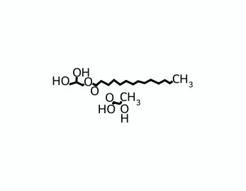 CC(O)C(=O)O.CCCCCCCCCCCCCC(=O)OCC(O)CO